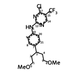 COCC[C](CCOC)c1ccc(Nc2ncc(C(F)(F)F)c(Cl)n2)cc1